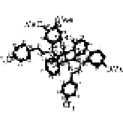 COc1cccc(N(CCc2ccc(C(F)(F)F)cc2)C(=O)C(N)(c2ccccc2OC)C(N)(C(=O)N(CCc2ccc(C(F)(F)F)cc2)c2ccc(OC)c(OC)c2)c2ccccc2OC)c1